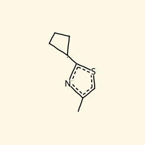 Cc1csc([C]2CCC2)n1